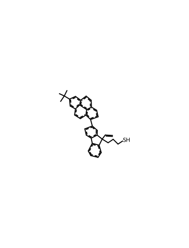 C=CC1(CCCS)c2ccccc2-c2ccc(-c3ccc4ccc5cc(C(C)(C)C)cc6ccc3c4c56)cc21